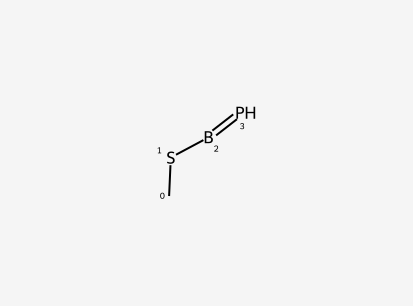 CSB=P